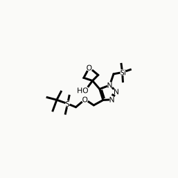 CC(C)(C)S(C)(C)COCc1nnn(C[Si](C)(C)C)c1C1(O)COC1